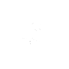 CCCC(F)OC(=O)[C@H]1C[C@@H](CO)[C@@H](CC2(NC(C)=O)COC(C)(C)O2)N1C(=O)OC(F)CCC